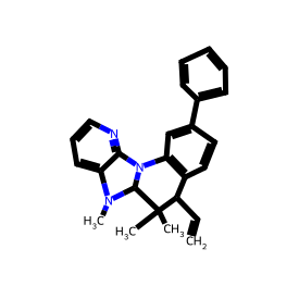 C=CC1c2ccc(-c3ccccc3)cc2N2c3ncccc3N(C)C2C1(C)C